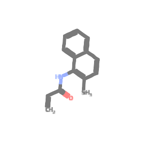 C=CC(=O)Nc1c([SiH3])ccc2ccccc12